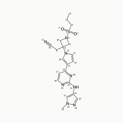 CCCS(=O)(=O)N1CC(CC#N)(n2ccc(-c3ccnc(Nc4cnn(C)c4)n3)c2)C1